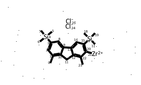 Cc1cc([Si](C)(C)C)cc2c1Cc1c-2cc([Si](C)(C)C)[c]([Zr+2])c1C.[Cl-].[Cl-]